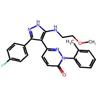 COCCNc1[nH]nc(-c2ccc(F)cc2)c1-c1ccc(=O)n(-c2ccccc2C)n1